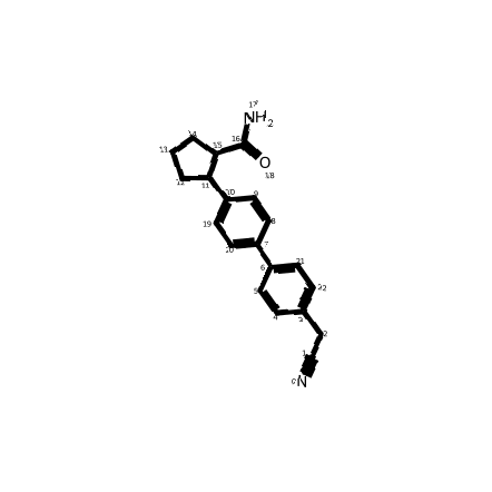 N#CCc1ccc(-c2ccc(C3CCCC3C(N)=O)cc2)cc1